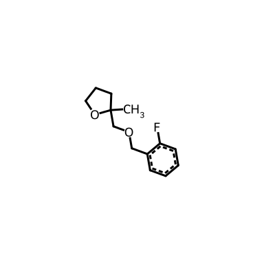 CC1(COCc2ccccc2F)CCCO1